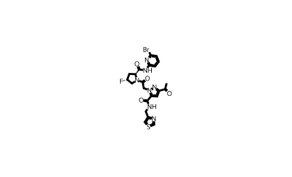 CC(=O)c1cc(C(=O)NCc2cscn2)n(CC(=O)N2C[C@H](F)C[C@H]2C(=O)Nc2cccc(Br)n2)n1